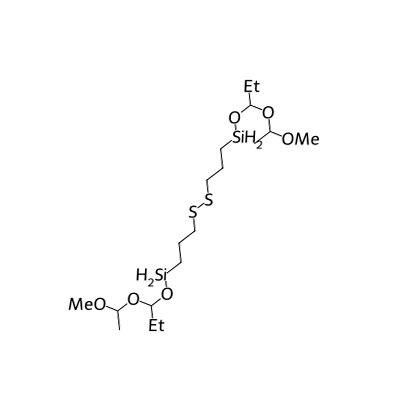 CCC(O[SiH2]CCCSSCCC[SiH2]OC(CC)OC(C)OC)OC(C)OC